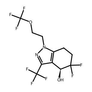 O[C@H]1c2c(C(F)(F)F)nn(CCOC(F)(F)F)c2CCC1(F)F